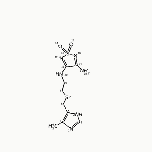 Cc1nc[nH]c1CSCCNC1=NS(=O)(=O)N=C1N